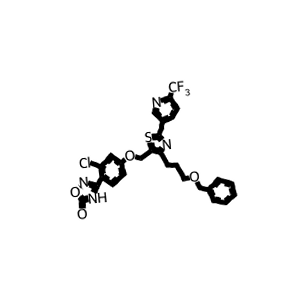 O=c1[nH]c(-c2ccc(OCc3sc(-c4ccc(C(F)(F)F)nc4)nc3CCCOCc3ccccc3)cc2Cl)no1